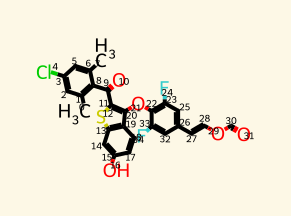 Cc1cc(Cl)cc(C)c1C(=O)c1sc2cc(O)ccc2c1Oc1c(F)cc(/C=C/OC=O)cc1F